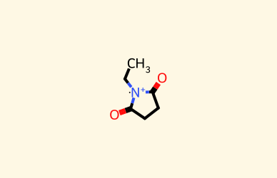 CC[N+]1C(=O)CCC1=O